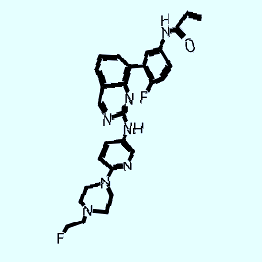 C=CC(=O)Nc1ccc(F)c(-c2cccc3cnc(Nc4ccc(N5CCN(CCF)CC5)nc4)nc23)c1